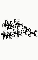 C=C(C)C(=O)OC(COCC(F)(F)C(F)OC(F)(F)C(F)(F)C(F)(F)F)COCC(F)(F)C(F)OC(F)(F)C(F)(F)C(F)(F)F